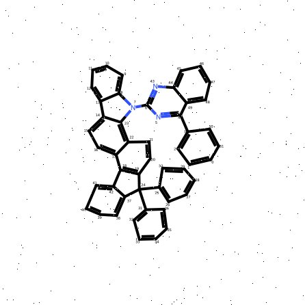 c1ccc(-c2nc(-n3c4ccccc4c4ccc5c6c(ccc5c43)C(c3ccccc3)(c3ccccc3)c3ccccc3-6)nc3ccccc23)cc1